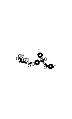 CC(CC(=O)CNC(=O)COc1ccc([C@@H]2[C@@H](SCC(=O)c3ccc(F)cc3)C(=O)N2c2ccc(F)cc2)cc1)[C@@H](N)C(=O)O